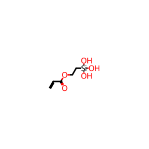 C=CC(=O)OCC[Si](O)(O)O